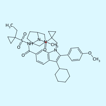 CCC1(S(=O)(=O)NC(=O)c2ccc3c(C4CCCCC4)c(-c4ccc(OC)cc4)n(CC4(C(=O)N5C6CCC5CN(C)C6)CC4)c3c2)CC1